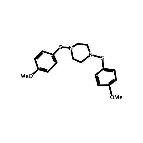 COc1ccc(SN2CCN(Sc3ccc(OC)cc3)CC2)cc1